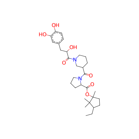 CCC1CCC(C)(OC(=O)C2CCCN2C(=O)C2CCCN(C(=O)C(O)Cc3ccc(O)c(O)c3)C2)C1(C)C